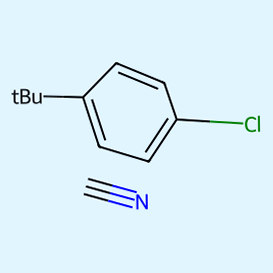 C#N.CC(C)(C)c1ccc(Cl)cc1